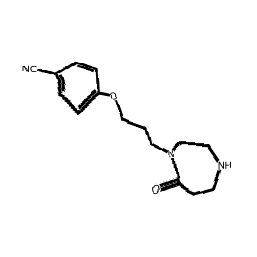 N#Cc1ccc(OCCCN2CCNCCC2=O)cc1